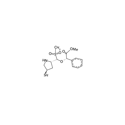 COC(=O)[C@@H](OC([C@@H]1C[C@@H](S)CN1)S(C)(=O)=O)c1ccccc1